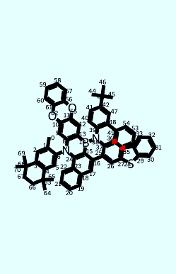 Cc1cc2c(cc1N1c3cc4c(cc3B3c5c(cc6ccccc6c51)-c1cc5sc6ccccc6c5cc1N3c1ccc(C(C)(C)C)cc1-c1ccccc1)Oc1ccccc1O4)C(C)(C)CCC2(C)C